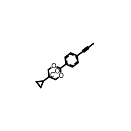 CC#Cc1ccc(C23OCC(C4CC4)(CO2)CO3)cc1